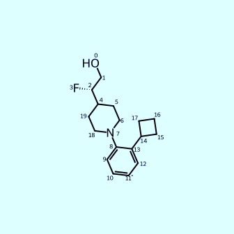 OC[C@@H](F)C1CCN(c2cc[c]cc2C2CCC2)CC1